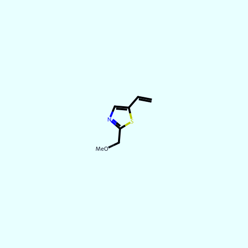 C=Cc1cnc(COC)s1